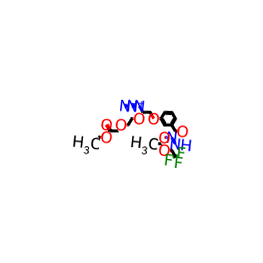 CCOC(=O)COCCOC(COc1cccc(C(=O)N(NC(=O)C(F)(F)F)OCC)c1)N=[N+]=[N-]